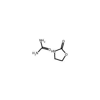 NC(N)=O.O=C1NCCO1